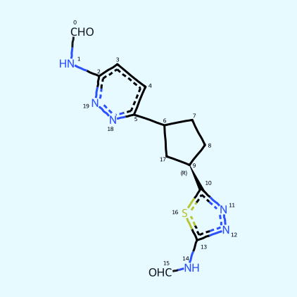 O=CNc1ccc(C2CC[C@@H](c3nnc(NC=O)s3)C2)nn1